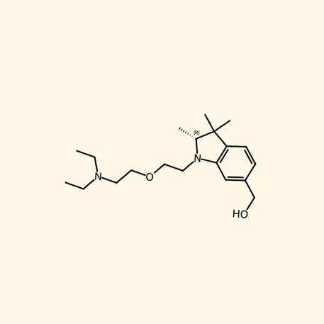 CCN(CC)CCOCCN1c2cc(CO)ccc2C(C)(C)[C@H]1C